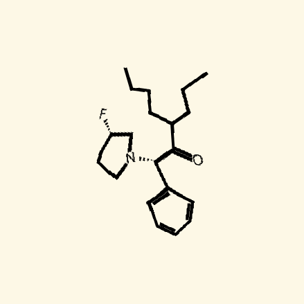 CCCCC(CCC)C(=O)[C@H](c1ccccc1)N1CC[C@H](F)C1